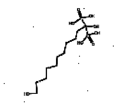 O=P(O)(O)C(O)(CCCCCCCCCCO)P(=O)(O)O